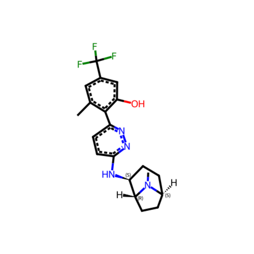 Cc1cc(C(F)(F)F)cc(O)c1-c1ccc(N[C@H]2CC[C@H]3CC[C@H]2N3C)nn1